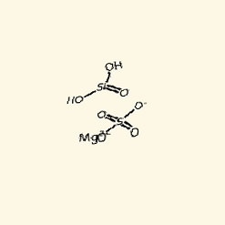 O=S(=O)([O-])[O-].O=[Si](O)O.[Mg+2]